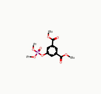 CC(C)OP(=O)(Oc1cc(C(=O)OC(C)(C)C)cc(C(=O)OC(C)(C)C)c1)OC(C)C